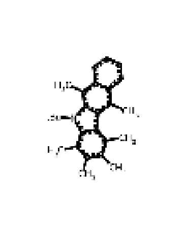 Cc1c(C)c(C)c2c(c1C)c1c(C)c3ccccc3c(C)c1n2C(C)(C)C